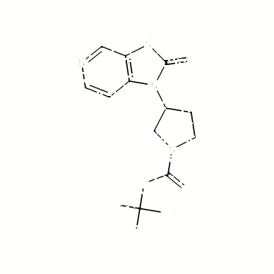 CC(C)(C)OC(=O)N1CCC(n2c(=O)[nH]c3cnccc32)C1